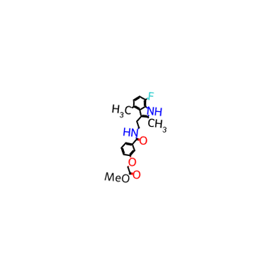 COC(=O)COc1cccc(C(=O)NCCc2c(C)[nH]c3c(F)ccc(C)c23)c1